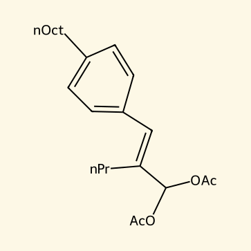 CCCCCCCCc1ccc(/C=C(\CCC)C(OC(C)=O)OC(C)=O)cc1